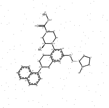 CN1CCC[C@H]1COc1nc2c(c(N3CCN(C(=O)OC(C)(C)C)C[C@@H]3C#N)n1)CCN(c1cccc3ccccc13)C2